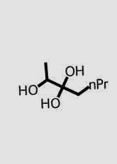 CCCCC(O)(O)C(C)O